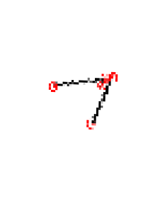 COC(C=CCCCCCCCCC=O)OC(C=CCCCCCCCCC=O)OC